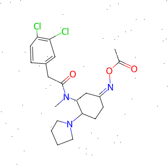 CC(=O)O/N=C1/CCC(N2CCCC2)C(N(C)C(=O)Cc2ccc(Cl)c(Cl)c2)C1